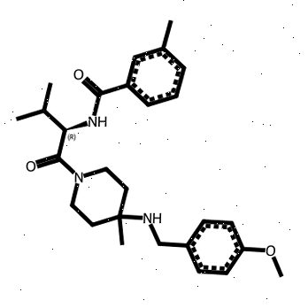 COc1ccc(CNC2(C)CCN(C(=O)[C@H](NC(=O)c3cccc(C)c3)C(C)C)CC2)cc1